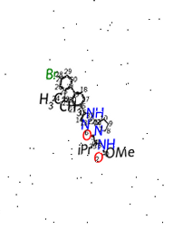 COC(=O)N[C@H](C(=O)N1CCC[C@H]1c1ncc(-c2ccc3c(c2)C(C)(C)c2cc(Br)ccc2-3)[nH]1)C(C)C